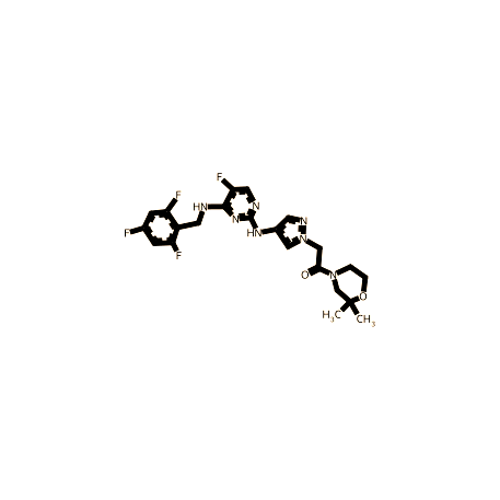 CC1(C)CN(C(=O)Cn2cc(Nc3ncc(F)c(NCc4c(F)cc(F)cc4F)n3)cn2)CCO1